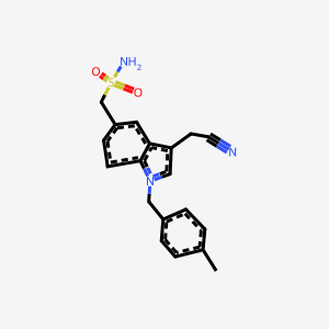 Cc1ccc(Cn2cc(CC#N)c3cc(CS(N)(=O)=O)ccc32)cc1